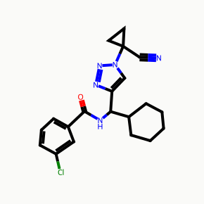 N#CC1(n2cc(C(NC(=O)c3cccc(Cl)c3)C3CCCCC3)nn2)CC1